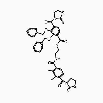 Cc1c(C(=O)NCCNC(=O)c2ccc(C(=O)N3CCSC3=S)c(OCc3ccccc3)c2OCc2ccccc2)ccc(C(=O)N2CCSC2=S)c1C